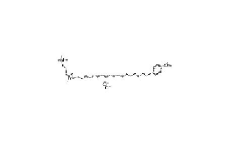 COc1ccc(CCCCCCCCCCCCCCCCCCC[N+](C)(C)CCC[N+](C)(C)C)cc1.[Cl-].[Cl-]